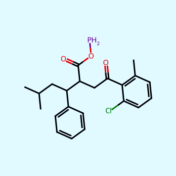 Cc1cccc(Cl)c1C(=O)CC(C(=O)OP)C(CC(C)C)c1ccccc1